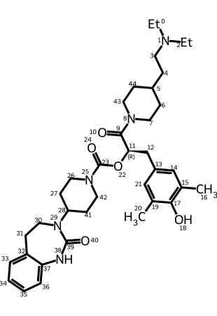 CCN(CC)CCC1CCN(C(=O)[C@@H](Cc2cc(C)c(O)c(C)c2)OC(=O)N2CCC(N3CCc4ccccc4NC3=O)CC2)CC1